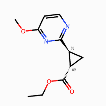 CCOC(=O)[C@H]1C[C@@H]1c1nccc(OC)n1